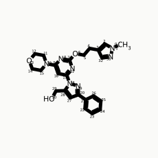 Cn1cc(CCOc2nc(N3CCOCC3)cc(-n3nc(-c4ccccc4)cc3CO)n2)cn1